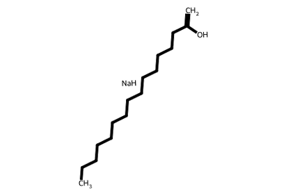 C=C(O)CCCCCCCCCCCCCC.[NaH]